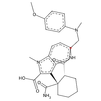 COc1ccc(N(C)CCNC(=O)[C@@H]2CCCC[C@@]2(C(N)=O)c2c(C(=O)O)n(C)c3ccccc23)cc1